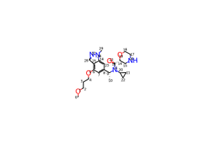 COCCCOc1cc([C@@H](C)N(C(=O)[C@H]2CNCCO2)C2CC2)cc2c1cnn2C